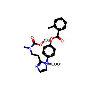 Cc1ccccc1C(=O)Oc1ccc([N+]2(C(=O)[O-])C=CN=C2CCN(C)C(=O)OC(C)(C)C)cc1